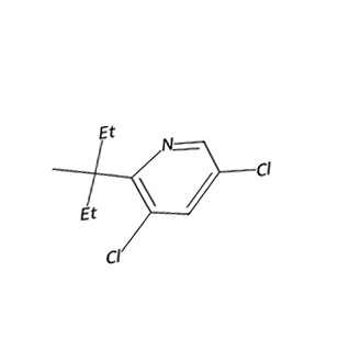 CCC(C)(CC)c1ncc(Cl)cc1Cl